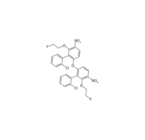 O=[N+]([O-])c1ccc(Oc2ccc([N+](=O)[O-])c(OCCF)c2-c2ccccc2Cl)c(-c2ccccc2Cl)c1OCCF